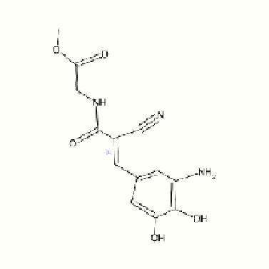 COC(=O)CNC(=O)/C(C#N)=C/c1cc(N)c(O)c(O)c1